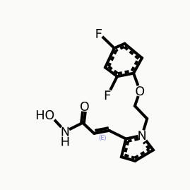 O=C(/C=C/c1cccn1CCOc1ccc(F)cc1F)NO